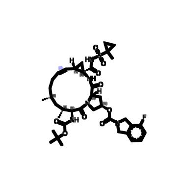 C[C@@H]1CC/C=C\[C@@H]2C[C@@]2(C(=O)NS(=O)(=O)C2(C)CC2)NC(=O)[C@@H]2C[C@@H](OC(=O)N3Cc4cccc(F)c4C3)CN2C(=O)[C@@H](NC(=O)OC(C)(C)C)[C@H](C)C1